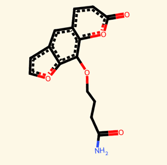 NC(=O)CCCOc1c2occc2cc2ccc(=O)oc12